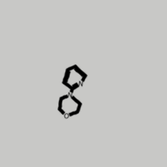 [c]1cccnc1N1CCOCC1